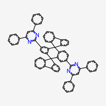 c1ccc(-c2cc(-c3ccccc3)nc(-c3ccc4c(c3)C3(c5ccccc5-c5ccccc53)c3ccc(-c5nc(-c6ccccc6)cc(-c6ccccc6)n5)cc3C43c4ccccc4-c4ccccc43)n2)cc1